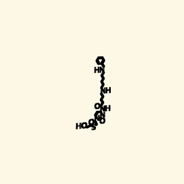 O=C(CCCCNCCCCCCNCc1ccccc1)Nc1ccn(C2CSC(CO)O2)c(=O)n1